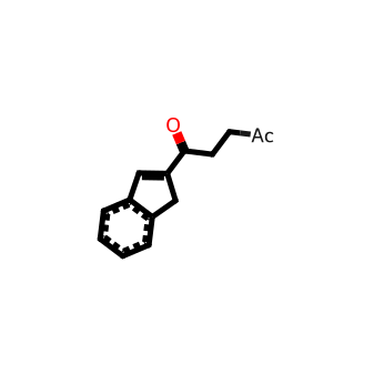 CC(=O)CCC(=O)C1=Cc2ccccc2C1